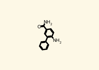 NC(=O)c1ccc(N)c(-c2ccccc2)c1